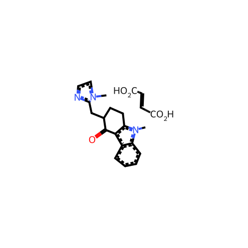 Cn1ccnc1CC1CCc2c(c3ccccc3n2C)C1=O.O=C(O)C=CC(=O)O